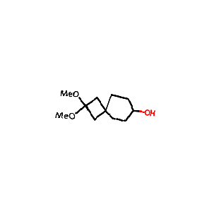 COC1(OC)CC2(CCC(O)CC2)C1